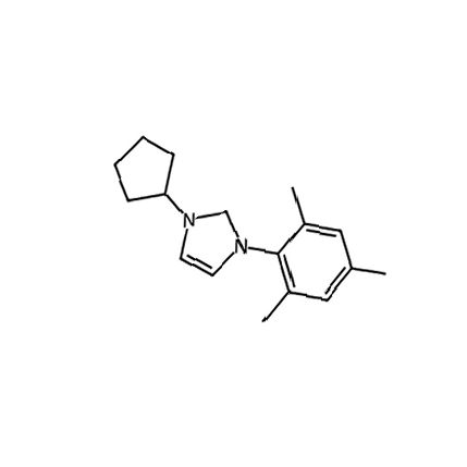 Cc1cc(C)c(N2C=CN(C3CCCC3)C2)c(C)c1